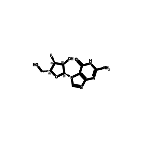 Nc1nc2ncn([C@@H]3O[C@H](CO)[C@@H](F)[C@H]3O)c2c(=O)[nH]1